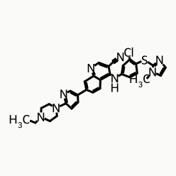 CCN1CCN(c2ccc(-c3ccc4c(Nc5ccc(Sc6nccn6C)c(Cl)c5)c(C#N)cnc4c3)cn2)CC1